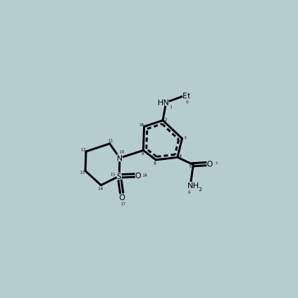 CCNc1cc(C(N)=O)cc(N2CCCCS2(=O)=O)c1